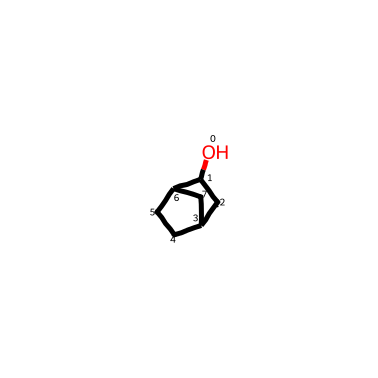 OC1[CH]C2CCC1C2